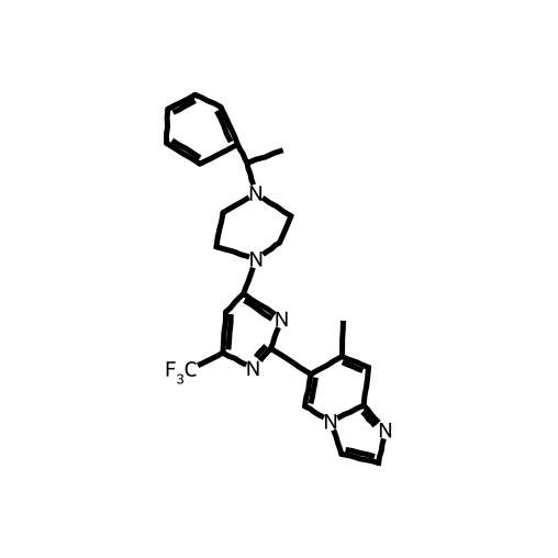 Cc1cc2nccn2cc1-c1nc(N2CCN(C(C)c3ccccc3)CC2)cc(C(F)(F)F)n1